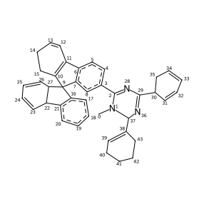 CN1C(c2ccc3c(c2)C2(C4=C3C=CCC4)c3ccccc3C3C=CC=CC32)=NC(C2C=CC=CC2)=NC1C1=CCCCC1